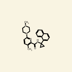 Cc1ccc(N2CCN(C)CC2)nc1C(=O)NC1(c2cccc3ccccc23)CC1